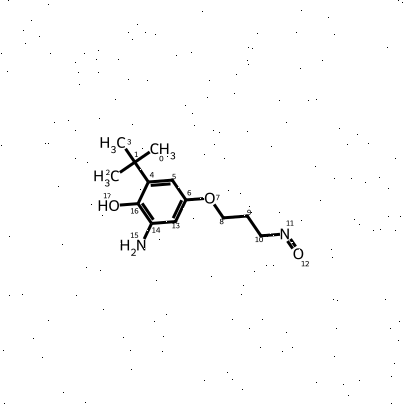 CC(C)(C)c1cc(OCCCN=O)cc(N)c1O